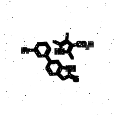 CC(C)c1cccc(-c2ccc3c(c2)NC(=O)C3)c1.Cc1[nH]c(C)c(C(=O)O)c1C